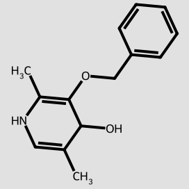 CC1=CNC(C)=C(OCc2ccccc2)C1O